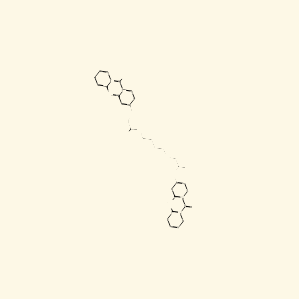 O=CC(COCCCCOC(=O)COc1ccc2c(=O)c3ccccc3sc2c1)Oc1ccc2c(=O)c3ccccc3sc2c1